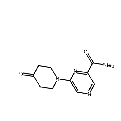 CNC(=O)c1cncc(N2CCC(=O)CC2)n1